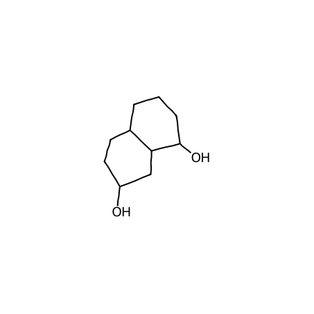 OC1CCC2CCCC(O)C2C1